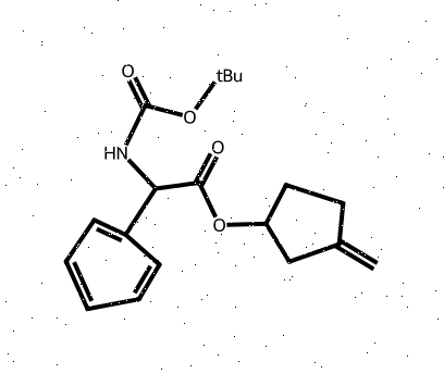 C=C1CCC(OC(=O)C(NC(=O)OC(C)(C)C)c2ccccc2)C1